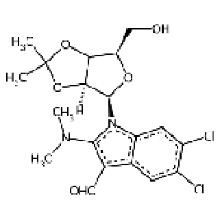 CN(C)c1c(C=O)c2cc(Cl)c(Cl)cc2n1[C@@H]1O[C@H](CO)C2OC(C)(C)O[C@@H]21